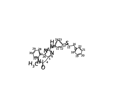 CN1C(=O)Cc2cnc(Nc3ccc(SCCc4ccccc4)cc3)nc2-c2ccccc21